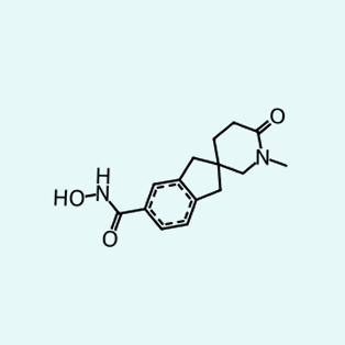 CN1CC2(CCC1=O)Cc1ccc(C(=O)NO)cc1C2